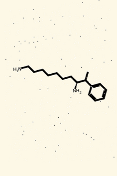 CC(c1ccccc1)[C@@H](N)CCCCCCCN